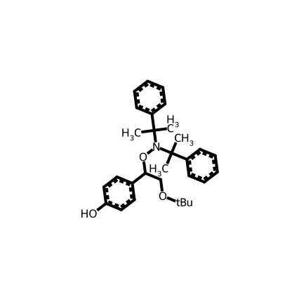 CC(C)(C)OCC(ON(C(C)(C)c1ccccc1)C(C)(C)c1ccccc1)c1ccc(O)cc1